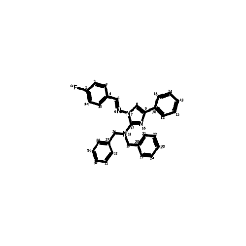 Fc1ccc(/C=N/n2cc(-c3ccccc3)nc2N(Cc2ccccc2)Cc2ccccc2)cc1